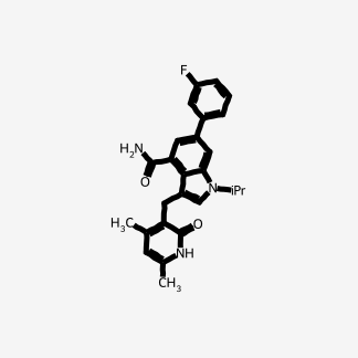 Cc1cc(C)c(Cc2cn(C(C)C)c3cc(-c4cccc(F)c4)cc(C(N)=O)c23)c(=O)[nH]1